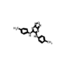 Cc1ccc(Nc2nc3nonc3nc2Nc2ccc(C)cc2)cc1